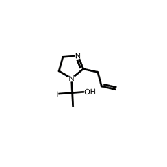 C=CCC1=NCCN1C(C)(O)I